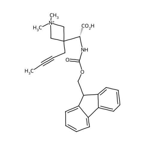 CC#CCC1([C@@H](NC(=O)OCC2c3ccccc3-c3ccccc32)C(=O)O)C[N+](C)(C)C1